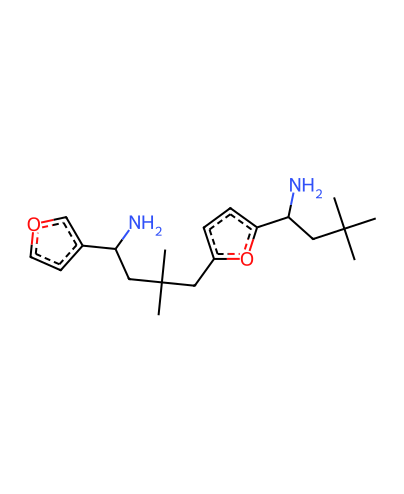 CC(C)(C)CC(N)c1ccc(CC(C)(C)CC(N)c2ccoc2)o1